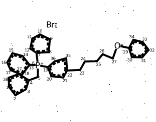 [Br-].c1ccc(C[P+](c2ccccc2)(c2ccccc2)c2ccc(CCCCCOc3ccccc3)cc2)cc1